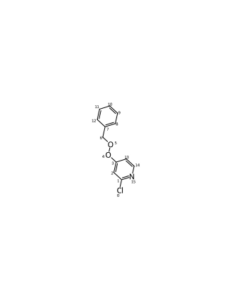 Clc1cc(OOCc2ccccc2)ccn1